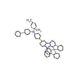 CC1=CCC(C)(N(c2ccc(-c3ccccc3)cc2)c2ccc(-c3ccc4c(c3)c3ccc5c(c3n4-c3ccccc3)C3(c4ccccc4-c4ccccc43)c3ccccc3-5)cc2)C=C1